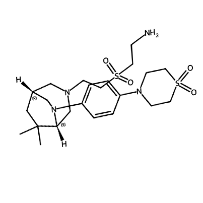 CC1(C)C[C@@H]2CN(CCS(=O)(=O)CCN)C[C@H]1N(c1ccc(N3CCS(=O)(=O)CC3)cc1)C2